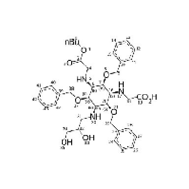 CCCCOC(=O)CN[C@H]1[C@@H](OCc2ccccc2)[C@@H](NCC(=O)O)[C@@H](OCc2ccccc2)[C@@H](NCC(O)CO)[C@H]1OCc1ccccc1